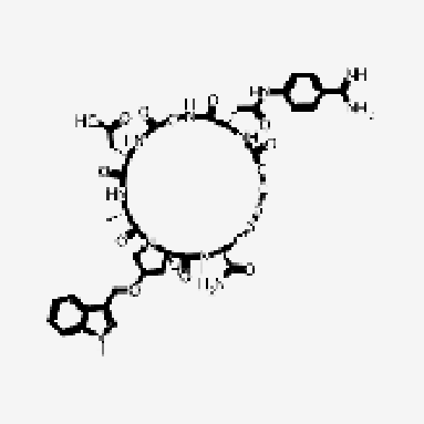 C[C@@H]1NC(=O)[C@H](CC(=O)O)NC(=O)CNC(=O)[C@H](CC(=O)Nc2ccc(C(=N)N)cc2)NC(=O)CCSSC[C@@H](C(N)=O)NC(=O)[C@@H]2CC(OCc3c[nH]c4ccccc34)CN2C1=O